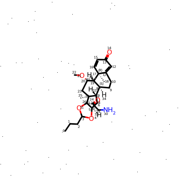 CCCC1O[C@@H]2C[C@H]3[C@@H]4CCC5=CC(=O)C=C[C@]5(C)[C@H]4[C@@H](OC)C[C@]3(C)[C@]2(C(=O)CN)O1